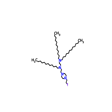 CCCCCCCCCCCCN(CCCCCCCCCCCC)CCN(CCCCCCCCCCCC)CCN1CCN(CCI)CC1